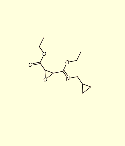 CCOC(=O)C1OC1C(=NCC1CC1)OCC